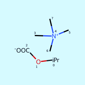 CC(C)OC(=O)[O-].C[N+](C)(C)C